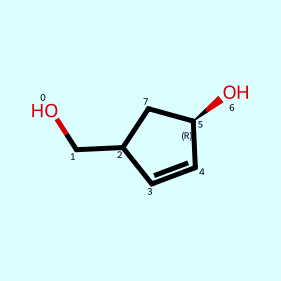 OCC1C=C[C@H](O)C1